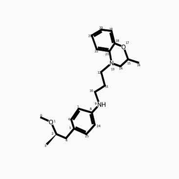 CO[C@H](C)Cc1ccc(NCCCN2CC(C)Oc3ccccc32)cc1